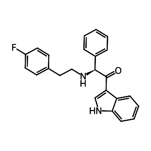 O=C(c1c[nH]c2ccccc12)[C@@H](NCCc1ccc(F)cc1)c1ccccc1